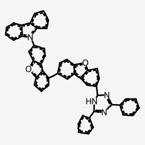 c1ccc(C2=NC(c3ccc4oc5ccc(-c6cccc7oc8cc(-n9c%10ccccc%10c%10ccccc%109)ccc8c67)cc5c4c3)NC(c3ccccc3)=N2)cc1